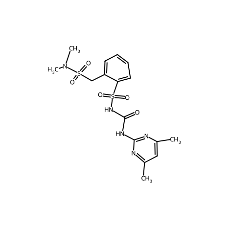 Cc1cc(C)nc(NC(=O)NS(=O)(=O)c2ccccc2CS(=O)(=O)N(C)C)n1